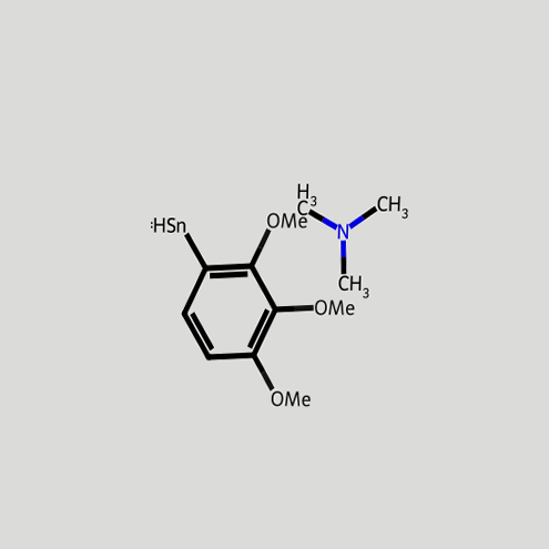 CN(C)C.COc1cc[c]([SnH])c(OC)c1OC